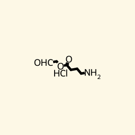 Cl.NCCCC(=O)OCC=O